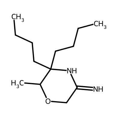 CCCCC1(CCCC)NC(=N)COC1C